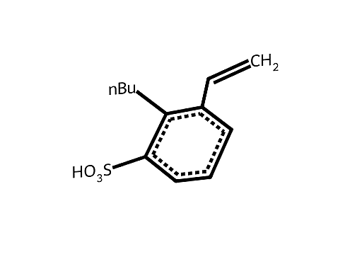 C=Cc1cccc(S(=O)(=O)O)c1CCCC